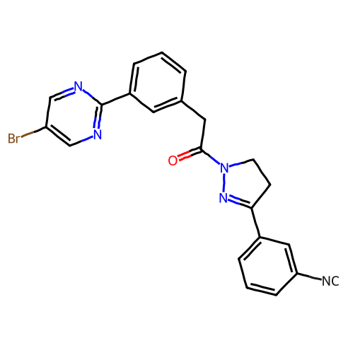 [C-]#[N+]c1cccc(C2=NN(C(=O)Cc3cccc(-c4ncc(Br)cn4)c3)CC2)c1